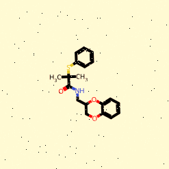 CC(C)(Sc1ccccc1)C(=O)NCC1COc2ccccc2O1